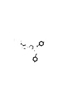 COC(=O)c1ncn([C@H]2C[C@H](OC(=O)c3ccc(Cl)cc3)[C@@H](COC(=O)c3ccc(Cl)cc3)O2)c1C